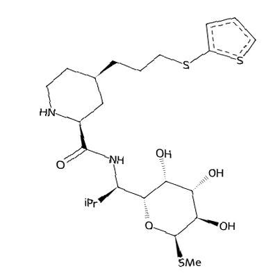 CS[C@H]1O[C@H]([C@H](NC(=O)[C@@H]2C[C@H](CCCSc3cccs3)CCN2)C(C)C)[C@H](O)[C@H](O)[C@H]1O